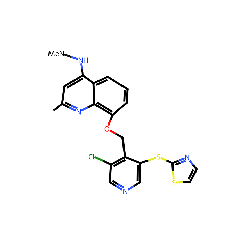 CNNc1cc(C)nc2c(OCc3c(Cl)cncc3Sc3nccs3)cccc12